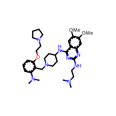 COc1cc2nc(NCCN(C)C)nc(NC3CCN(Cc4c(OCCN5CCCC5)cccc4N(C)C)CC3)c2cc1OC